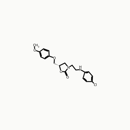 COc1ccc(OC[C@@H]2CN(CCNc3ccc(Cl)cc3)C(=O)O2)cc1